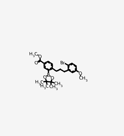 COC(=O)c1ccc(CCCc2cc(OC)ccc2Br)c(B2OC(C)(C)C(C)(C)O2)c1